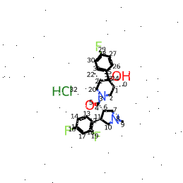 C[C@@H]1CN(C(=O)[C@@H]2CN(C)C[C@H]2c2ccc(F)cc2F)C[C@H](C)C1(O)c1ccc(F)cc1.Cl